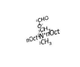 CCCCCCCC[N+](C)(C)CCCCCCCC.O=C[O-]